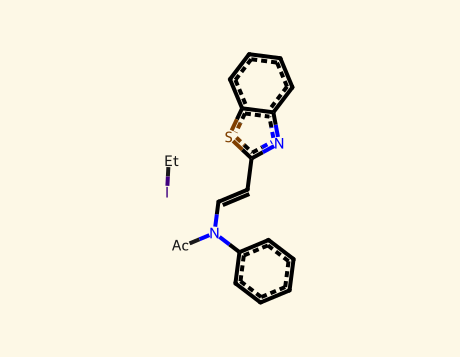 CC(=O)N(C=Cc1nc2ccccc2s1)c1ccccc1.CCI